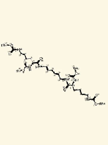 CC(C)(C)OC(=O)NCCCC[C@H](NC(=O)OC(C)(C)C)C(=O)NCCCCCCNC(=O)[C@@H](CCCCNC(=O)OC(C)(C)C)NC(=O)OC(C)(C)C